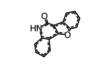 O=c1[nH]c2ccccc2c2oc3ccccc3c12